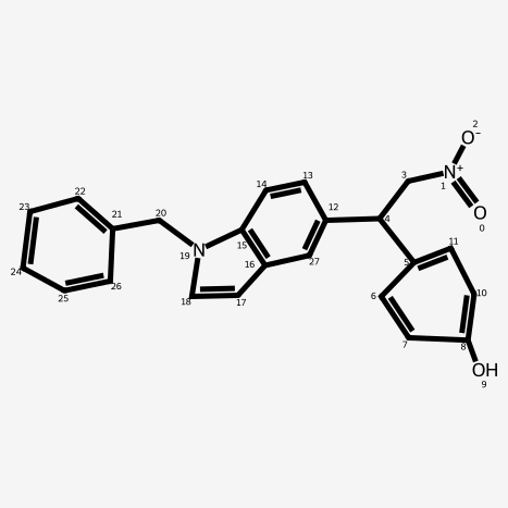 O=[N+]([O-])CC(c1ccc(O)cc1)c1ccc2c(ccn2Cc2ccccc2)c1